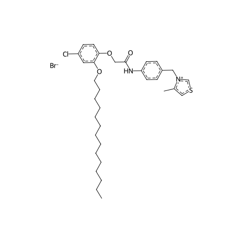 CCCCCCCCCCCCCCOc1cc(Cl)ccc1OCC(=O)Nc1ccc(C[n+]2cscc2C)cc1.[Br-]